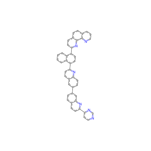 c1cnc2c(c1)ccc1ccc(-c3ccc(-c4ccc5cc(-c6ccc7ccc(-c8ccncn8)nc7c6)ccc5n4)c4ccccc34)nc12